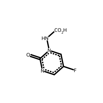 O=C(O)Nn1cc(F)cnc1=O